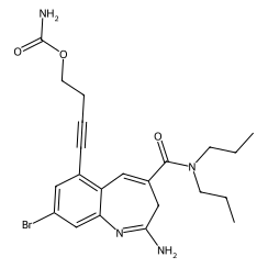 CCCN(CCC)C(=O)C1=Cc2c(C#CCCOC(N)=O)cc(Br)cc2N=C(N)C1